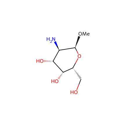 CO[C@H]1O[C@H](CO)[C@H](O)[C@H](O)[C@H]1N